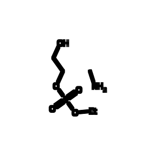 CCOS(=O)(=O)OCCO.CN